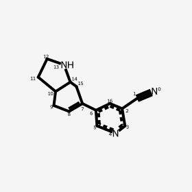 N#Cc1cncc(C2=CCC3CCNC3C2)c1